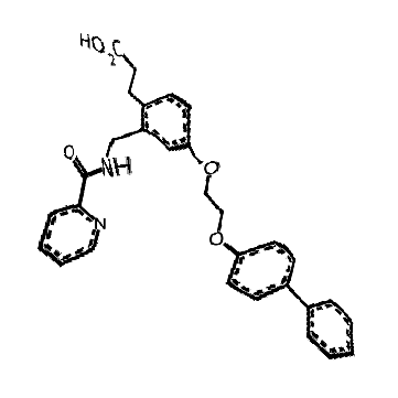 O=C(O)CCc1ccc(OCCOc2ccc(-c3ccccc3)cc2)cc1CNC(=O)c1ccccn1